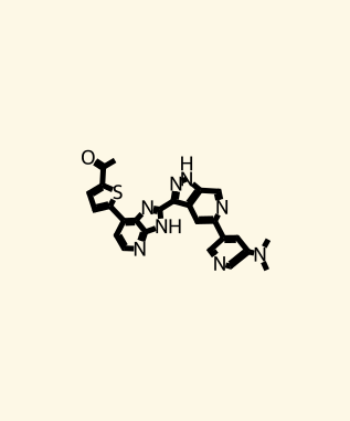 CC(=O)c1ccc(-c2ccnc3[nH]c(-c4n[nH]c5cnc(-c6cncc(N(C)C)c6)cc45)nc23)s1